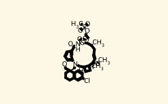 CO[C@]1(C)/C=C/C[C@H](C)[C@@H](CCOS(C)(=O)=O)S(=O)(=O)NC(=O)c2ccc3c(c2)N(C[C@@H]2CC[C@H]21)C[C@@]1(CCCc2cc(Cl)ccc21)CO3